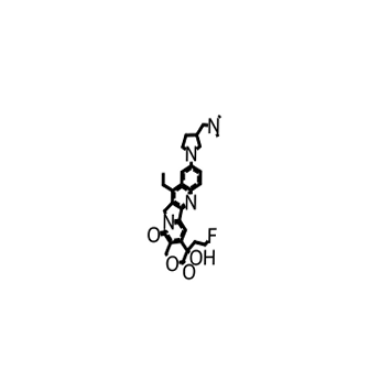 CCc1c2c(nc3ccc(N4CCC(CN(C)C)C4)cc13)-c1cc3c(c(=O)n1C2)COC(=O)C3(O)CCF